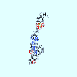 Cc1ccc(S(=O)(=O)OCCCc2cnc(N3CCN(C(=O)N(c4ccccc4)c4ccc5occc5c4)CC3)nc2)cc1